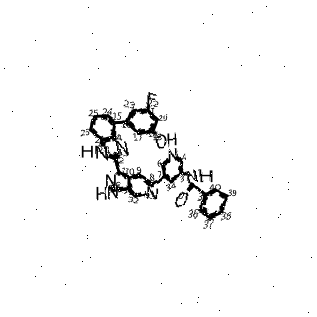 O=C(Nc1cncc(-c2cc3c(-c4nc5c(-c6cc(O)cc(F)c6)cccc5[nH]4)n[nH]c3cn2)c1)c1ccccc1